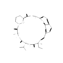 CC[C@@]1(C)/C=C/c2ccc3ccc(nc3c2)[C@@H](C)OC(=O)[C@@H]2CCCN(N2)C(=O)[C@H](C)NC(=O)[C@H](C(C)C)NC1=O